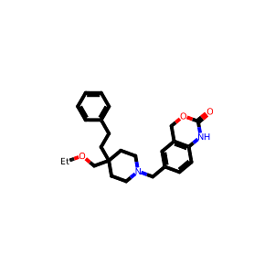 CCOCC1(CCc2ccccc2)CCN(Cc2ccc3c(c2)COC(=O)N3)CC1